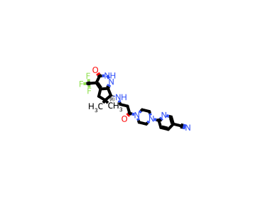 CC1(C)Cc2c(n[nH]c(=O)c2C(F)(F)F)[C@@H]1NCCC(=O)N1CCN(c2ccc(C#N)cn2)CC1